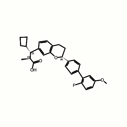 COc1ccc(F)c(-c2ccc([C@H]3CCc4ccc([C@@H](C5CCC5)[C@H](C)C(=O)O)cc4O3)cc2)c1